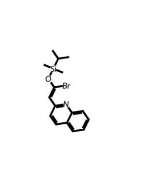 CC(C)[Si](C)(C)OC(Br)=Cc1ccc2ccccc2n1